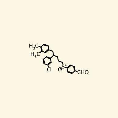 Cc1ccc(CC(CCC[S+]([O-])c2ccc(C=O)cc2)c2cccc(Cl)c2)cc1C